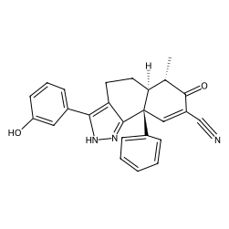 C[C@@H]1C(=O)C(C#N)=C[C@]2(c3ccccc3)c3n[nH]c(-c4cccc(O)c4)c3CC[C@@H]12